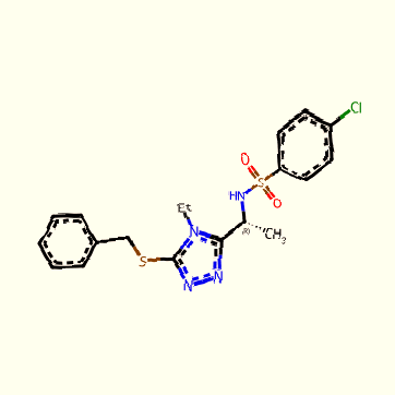 CCn1c(SCc2ccccc2)nnc1[C@@H](C)NS(=O)(=O)c1ccc(Cl)cc1